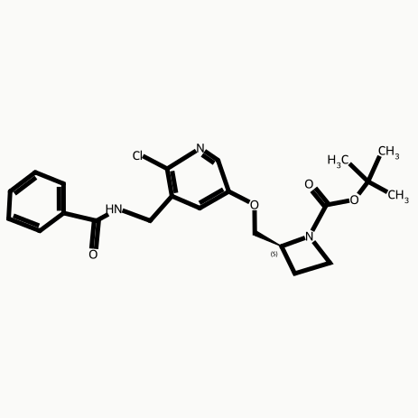 CC(C)(C)OC(=O)N1CC[C@H]1COc1cnc(Cl)c(CNC(=O)c2ccccc2)c1